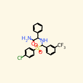 NC(=O)C(N[C@@H](c1cccc(C(F)(F)F)c1)S(=O)(=O)c1ccc(Cl)cc1)c1ccccc1